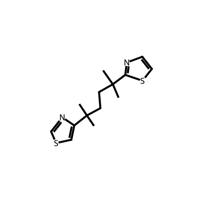 CC(C)(CCC(C)(C)c1nccs1)c1cscn1